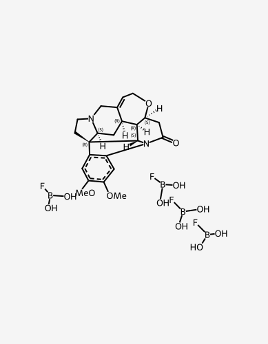 COc1cc2c(cc1OC)[C@@]13CCN4CC5=CCO[C@H]6CC(=O)N2[C@H]1[C@H]6[C@H]5C[C@H]43.OB(O)F.OB(O)F.OB(O)F.OB(O)F